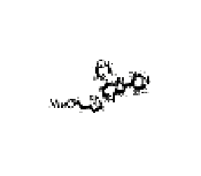 COCCc1ccn(-c2cc(N3CCOCC3)n3nc(-c4ccncc4)cc3n2)n1